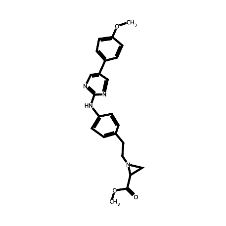 COC(=O)C1CN1CCc1ccc(Nc2ncc(-c3ccc(OC)cc3)cn2)cc1